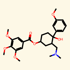 COc1cccc(C2(O)CCC(OC(=O)c3cc(OC)c(OC)c(OC)c3)CC2CN(C)C)c1